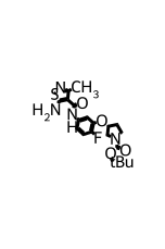 Cc1nsc(N)c1C(=O)Nc1ccc(F)c(O[C@@H]2CCN(C(=O)OC(C)(C)C)C2)c1